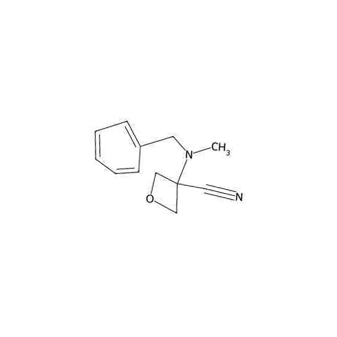 CN(Cc1ccccc1)C1(C#N)COC1